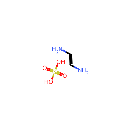 N/C=C/N.O=S(=O)(O)O